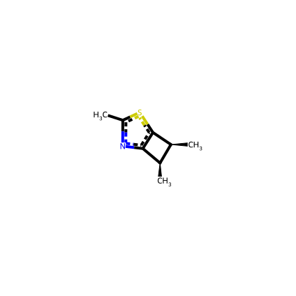 Cc1nc2c(s1)[C@@H](C)[C@H]2C